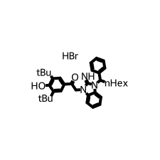 Br.CCCCCCC(c1ccccc1)n1c(=N)n(CC(=O)c2cc(C(C)(C)C)c(O)c(C(C)(C)C)c2)c2ccccc21